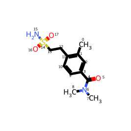 Cc1cc(C(=O)N(C)C)ccc1CCS(N)(=O)=O